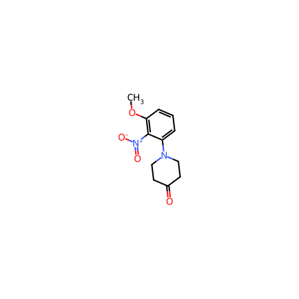 COc1cccc(N2CCC(=O)CC2)c1[N+](=O)[O-]